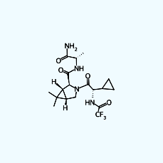 C[C@H](NC(=O)[C@@H]1[C@@H]2[C@H](CN1C(=O)[C@@H](NC(=O)C(F)(F)F)C1CC1)C2(C)C)C(N)=O